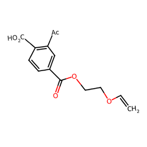 C=COCCOC(=O)c1ccc(C(=O)O)c(C(C)=O)c1